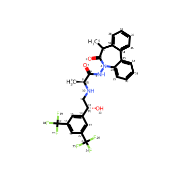 CC1C(=O)N(NC(=O)[C@H](C)NC[C@H](O)c2cc(C(F)(F)F)cc(C(F)(F)F)c2)c2ccccc2-c2ccccc21